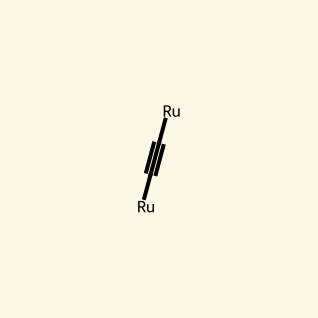 [Ru][C]#[C][Ru]